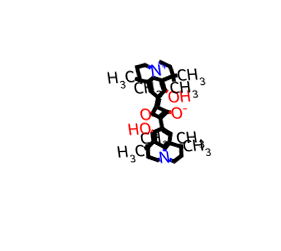 CC1(C)CCN2CCC(C)(C)c3c(O)c(C4=C([O-])C(=c5cc6c7c(c5O)C(C)(C)CC[N+]=7CCC6(C)C)C4=O)cc1c32